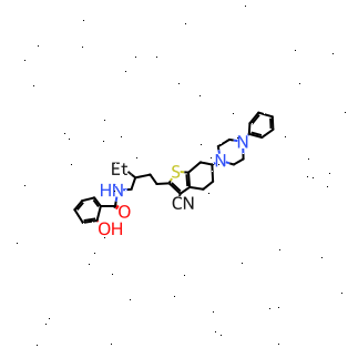 CCC(CCc1sc2c(c1C#N)CCC(N1CCN(c3ccccc3)CC1)C2)CNC(=O)c1ccccc1O